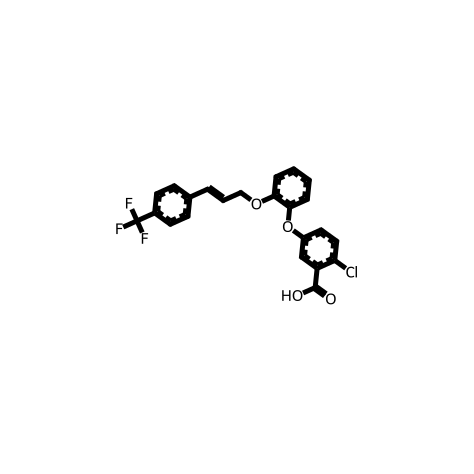 O=C(O)c1cc(Oc2ccccc2OCC=Cc2ccc(C(F)(F)F)cc2)ccc1Cl